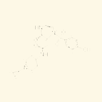 Cc1ccc(S(=O)(=O)N2C=CNC(=O)[C@H]2CC(=O)NC2CCN(C3CC3)CC2)cc1